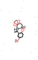 C=C1c2cc(Br)ccc2O[C@H]2CCC3(C[C@H]12)OCCO3